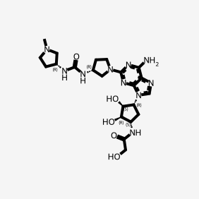 CN1CC[C@@H](NC(=O)N[C@@H]2CCN(c3nc(N)c4ncn([C@@H]5C[C@H](NC(=O)CO)[C@@H](O)[C@H]5O)c4n3)C2)C1